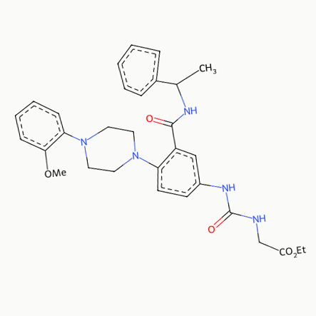 CCOC(=O)CNC(=O)Nc1ccc(N2CCN(c3ccccc3OC)CC2)c(C(=O)NC(C)c2ccccc2)c1